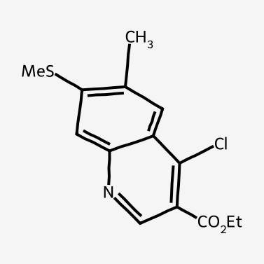 CCOC(=O)c1cnc2cc(SC)c(C)cc2c1Cl